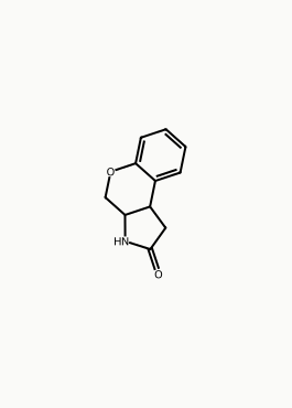 O=C1CC2c3ccccc3OCC2N1